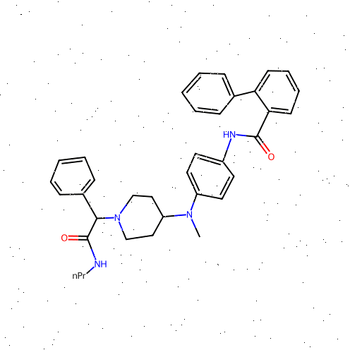 CCCNC(=O)C(c1ccccc1)N1CCC(N(C)c2ccc(NC(=O)c3ccccc3-c3ccccc3)cc2)CC1